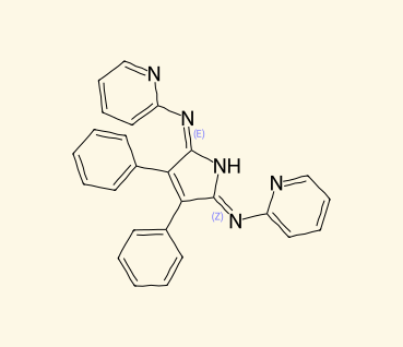 c1ccc(C2=C(c3ccccc3)C(=N\c3ccccn3)/N/C2=N\c2ccccn2)cc1